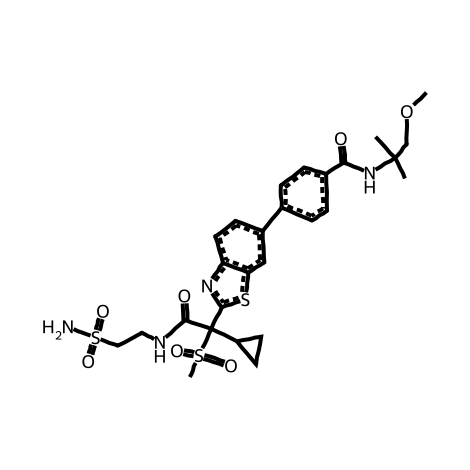 COCC(C)(C)NC(=O)c1ccc(-c2ccc3nc(C(C(=O)NCCS(N)(=O)=O)(C4CC4)S(C)(=O)=O)sc3c2)cc1